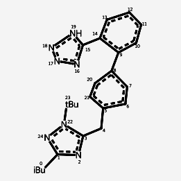 CCC(C)c1nc(Cc2ccc(-c3ccccc3-c3nnn[nH]3)cc2)n(C(C)(C)C)n1